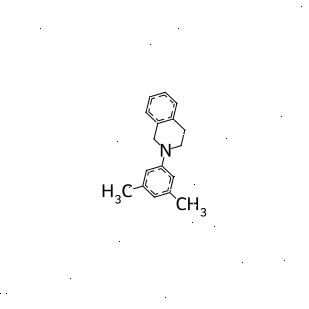 Cc1cc(C)cc(N2CCc3ccccc3C2)c1